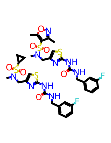 CN(Cc1csc(NC(=O)NCc2cccc(F)c2)n1)S(=O)(=O)C1CC1.Cc1noc(C)c1S(=O)(=O)N(C)Cc1csc(NC(=O)NCc2cccc(F)c2)n1